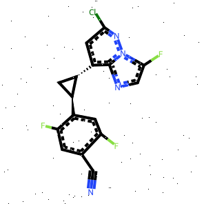 N#Cc1cc(F)c([C@H]2C[C@@H]2c2cc(Cl)nn3c(F)cnc23)cc1F